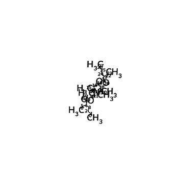 CCCCC(CC)C(=O)OCCN1C(C)(C)CC(OC(=O)C(CC)CCCC)CC1(C)C